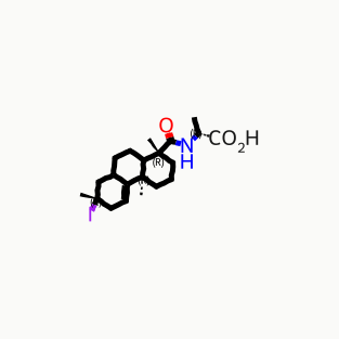 C[C@@H](NC(=O)[C@]1(C)CCC[C@@]2(C)C3=CC[C@](C)(I)CC3CCC12)C(=O)O